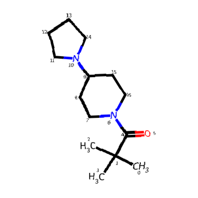 CC(C)(C)C(=O)N1CCC(N2CCCC2)CC1